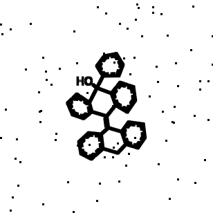 OC1(c2ccccc2)c2ccccc2C(=C2c3ccccc3Cc3ccccc32)c2ccccc21